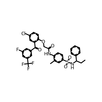 CCC(NS(=O)(=O)c1ccc(NC(=O)COc2ccc(Cl)cc2C(=O)c2cc(F)cc(C(F)(F)F)c2)c(C)c1)c1ccccc1